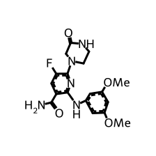 COc1cc(Nc2nc(N3CCNC(=O)C3)c(F)cc2C(N)=O)cc(OC)c1